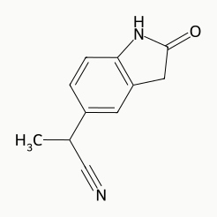 CC(C#N)c1ccc2c(c1)CC(=O)N2